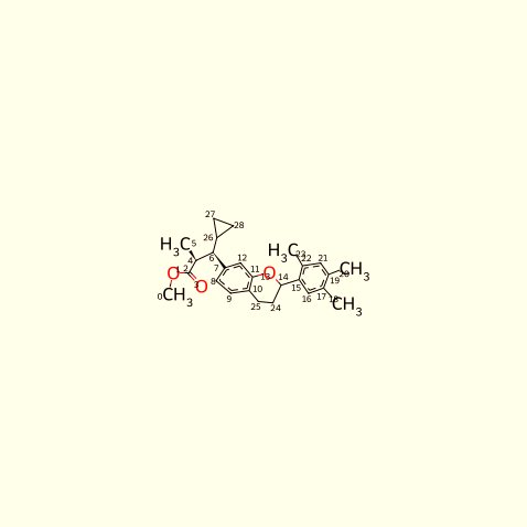 COC(=O)[C@@H](C)[C@H](c1ccc2c(c1)OC(c1cc(C)c(C)cc1C)CC2)C1CC1